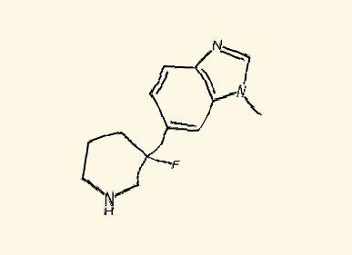 Cn1cnc2ccc(C3(F)CCCNC3)cc21